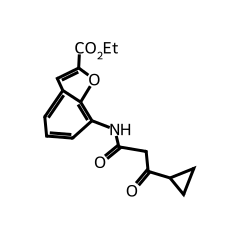 CCOC(=O)c1cc2cccc(NC(=O)CC(=O)C3CC3)c2o1